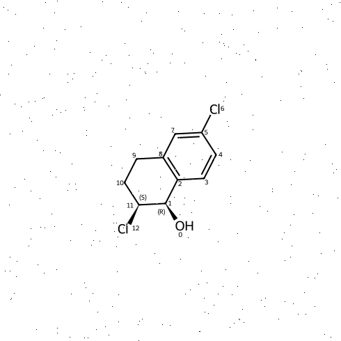 O[C@@H]1c2ccc(Cl)cc2CC[C@@H]1Cl